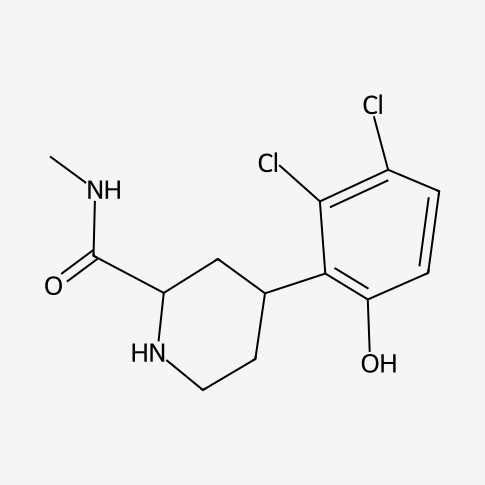 CNC(=O)C1CC(c2c(O)ccc(Cl)c2Cl)CCN1